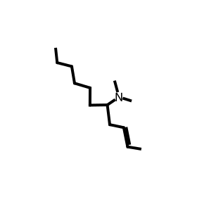 CC=CCC(CCCCCC)N(C)C